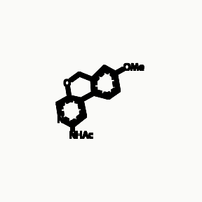 COc1ccc2c(c1)COc1cnc(NC(C)=O)cc1-2